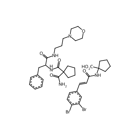 NC(=O)C1(C(=O)NC(Cc2ccccc2)C(=O)NCCCN2CCOCC2)CCCC1.O=C(C=Cc1ccc(Br)c(Br)c1)NC1(C(=O)O)CCCC1